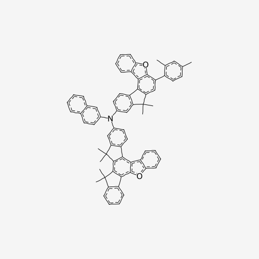 Cc1ccc(-c2cc3c(c4c2oc2ccccc24)-c2ccc(N(c4ccc5c(c4)C(C)(C)c4c6c(c7oc8ccccc8c7c4-5)-c4ccccc4C6(C)C)c4ccc5ccccc5c4)cc2C3(C)C)c(C)c1